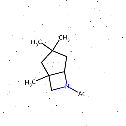 CC(=O)N1CC2(C)CC(C)(C)CC12